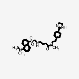 CN(CCc1ccc(C2=NCCN2)cc1)C(=O)CCCNCS(=O)(=O)c1cccc2c(N(C)C)cccc12